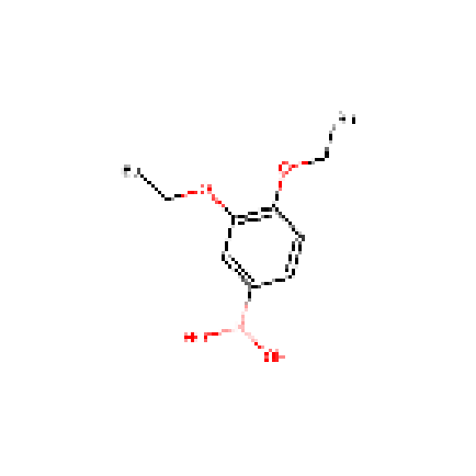 CCC(C)COc1ccc(B(O)O)cc1OCC(C)CC